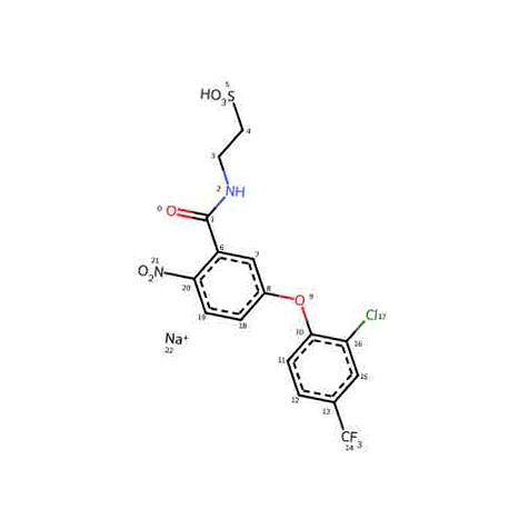 O=C(NCCS(=O)(=O)O)c1cc(Oc2ccc(C(F)(F)F)cc2Cl)ccc1[N+](=O)[O-].[Na+]